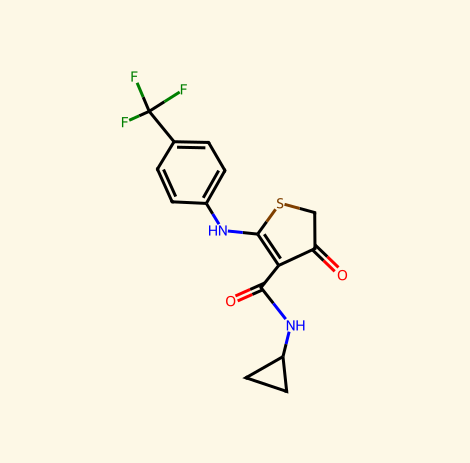 O=C1CSC(Nc2ccc(C(F)(F)F)cc2)=C1C(=O)NC1CC1